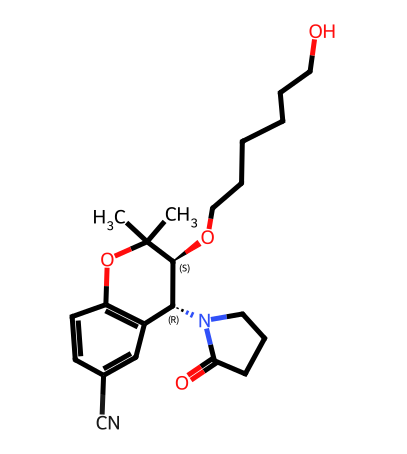 CC1(C)Oc2ccc(C#N)cc2[C@@H](N2CCCC2=O)[C@@H]1OCCCCCCO